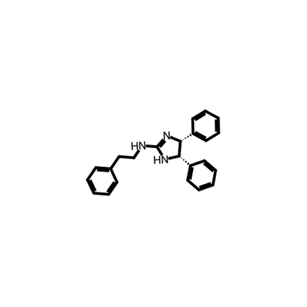 c1ccc(CCNC2=N[C@H](c3ccccc3)[C@H](c3ccccc3)N2)cc1